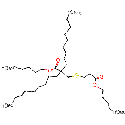 CCCCCCCCCCCCCCCCCCC(CCCCCCCCCCCCCCCCCC)(CSCCC(=O)OCCCCCCCCCCCCCC)C(=O)OCCCCCCCCCCCCCC